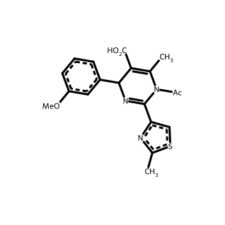 COc1cccc(C2N=C(c3csc(C)n3)N(C(C)=O)C(C)=C2C(=O)O)c1